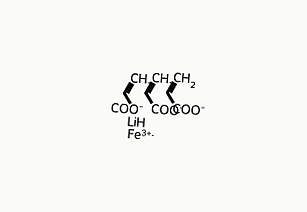 C=CC(=O)[O-].C=CC(=O)[O-].C=CC(=O)[O-].[Fe+3].[LiH]